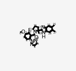 COc1ccc(-n2nccn2)c(C(=O)N2CCCC2(C)c2nc3cc(C)c(C)cc3[nH]2)c1F